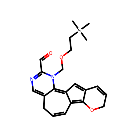 C[Si](C)(C)CCOCN1C(C=O)=NC=C2CC=CC3=C4OCC=CC4=CC3=C21